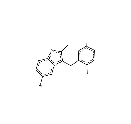 Cc1ccc(C)c(Cc2c(C)nc3ccc(Br)cn23)c1